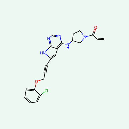 C=CC(=O)N1CCC(Nc2ncnc3[nH]c(C#CCOc4ccccc4Cl)cc23)C1